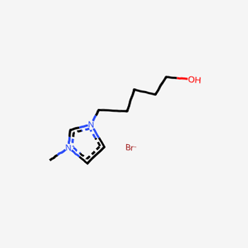 C[n+]1ccn(CCCCCO)c1.[Br-]